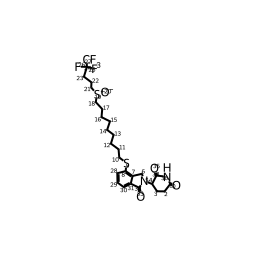 O=C1CCC(N2Cc3c(SCCCCCCCCC[S+]([O-])CCCC(F)(F)C(F)(F)F)cccc3C2=O)C(=O)N1